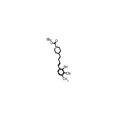 Cc1ccc(C=CCCC2CCN(C(=O)OC(C)(C)C)CC2)c(S)c1C#N